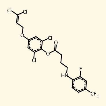 O=C(CCCNc1ccc(C(F)(F)F)cc1F)Oc1c(Cl)cc(OCC=C(Cl)Cl)cc1Cl